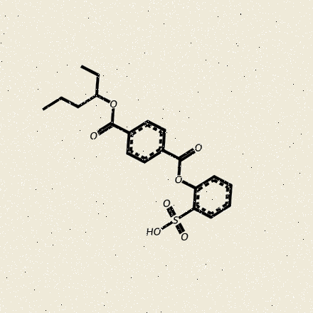 CCCC(CC)OC(=O)c1ccc(C(=O)Oc2ccccc2S(=O)(=O)O)cc1